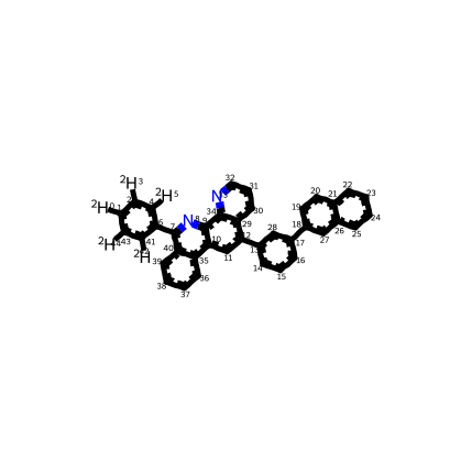 [2H]c1c([2H])c([2H])c(-c2nc3c(cc(-c4cccc(-c5ccc6ccccc6c5)c4)c4cccnc43)c3ccccc23)c([2H])c1[2H]